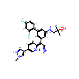 Cn1cc(C2=CN/C(=C(\C=N)c3cc(NCC(C)(C)O)cc(-c4ccc(F)cc4F)c3)C=C2)cn1